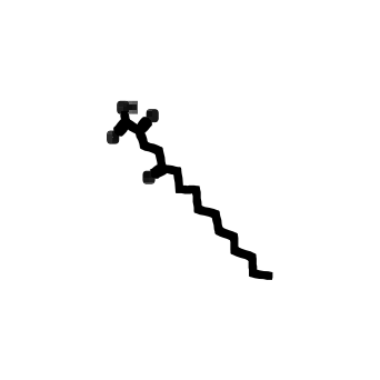 CCCCCCCCCCCC(=O)CCC(=O)C(=O)O